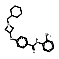 Nc1ccccc1NC(=O)c1ccc(OC2CN(CC3CCCCC3)C2)cc1